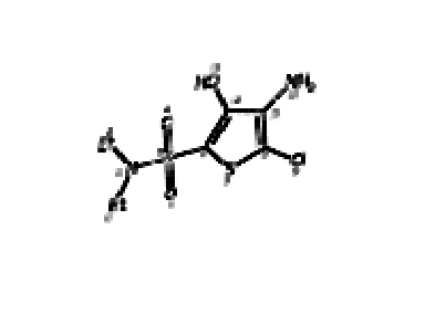 CCN(CC)S(=O)(=O)c1sc(Cl)c(N)c1O